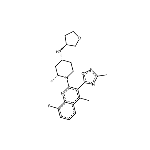 Cc1noc(-c2c(N3CC[C@@H](N[C@H]4CCOC4)C[C@H]3C)nc3c(F)cccc3c2C)n1